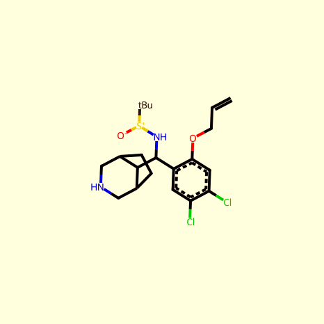 C=CCOc1cc(Cl)c(Cl)cc1C(N[S+]([O-])C(C)(C)C)C1C2CCC1CNC2